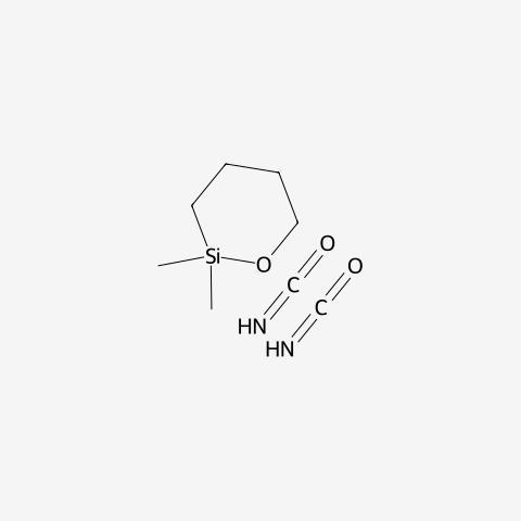 C[Si]1(C)CCCCO1.N=C=O.N=C=O